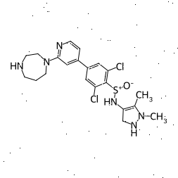 CC1=C(N[S+]([O-])c2c(Cl)cc(-c3ccnc(N4CCCNCC4)c3)cc2Cl)CNN1C